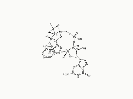 Nc1nc2c(ncn2[C@@H]2O[C@@H]3COP(=O)(O)O[C@H]4[C@H](n5cnc6cncnc65)O[C@H](COP(=O)(O)O[C@H]3[C@H]2O)[C@]42CC2(F)F)c(=O)[nH]1